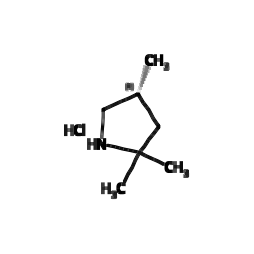 C[C@H]1CNC(C)(C)C1.Cl